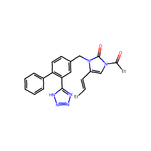 CCC=Cc1cn(C(=O)CC)c(=O)n1Cc1ccc(-c2ccccc2)c(-c2nnn[nH]2)c1